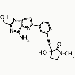 CN1CCC(O)(C#Cc2cccc(-c3ccc4nc(CO)nc(N)c4n3)c2)C1=O